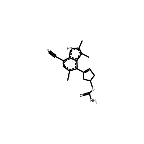 Cc1[nH]c2c(C#N)cc(F)c(C3=CCC(OC(N)=O)C3)c2c1C